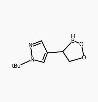 CC(C)(C)n1cc(C2BOOC2)cn1